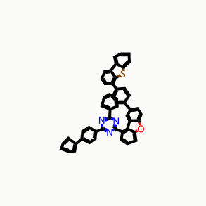 c1ccc(-c2ccc(-c3nc(-c4ccccc4)nc(-c4cccc5oc6ccc(-c7ccc(-c8cccc9c8sc8ccccc89)cc7)cc6c45)n3)cc2)cc1